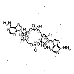 Nc1ncnc2c1ncn2[C@H]1[C@H](O)[C@@H]2O[PH](=O)OC[C@H]3O[C@@H](n4cnc5c(N)ncnc54)[C@H](O[P@@](=O)(S)OCC24C[C@H]14)[C@@H]3O